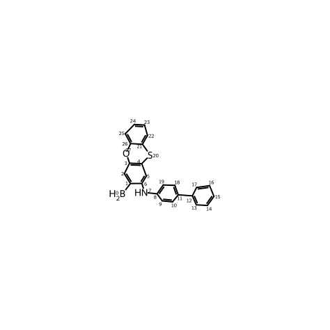 Bc1cc2c(cc1Nc1ccc(-c3ccccc3)cc1)Sc1ccccc1O2